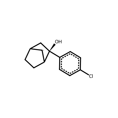 O[C@]1(c2ccc(Cl)cc2)CC2[CH]C1CC2